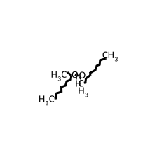 CCCCCCCCC(CC)ONOC(CC)CCCCCCCC